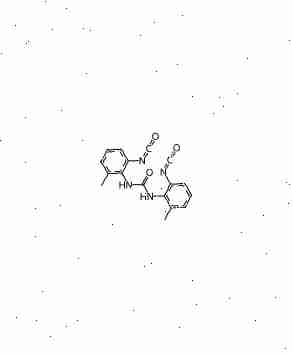 Cc1cccc(N=C=O)c1NC(=O)Nc1c(C)cccc1N=C=O